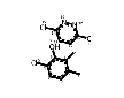 Cc1ccc(Cl)c(O)c1C.Clc1ccc(Cl)nn1